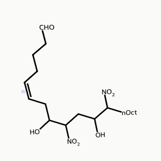 CCCCCCCCC(C(O)CC(C(O)C/C=C\CCCC=O)[N+](=O)[O-])[N+](=O)[O-]